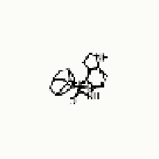 N#CC12CC3CC(C1)C(n1c(=O)[nH]c4cnc5c(c41)CCN5)C(C3)C2